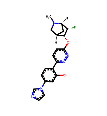 CN1C[C@H]2C[C@@H]1[C@H](F)[C@@H]2Oc1ccc(-c2ccc(-n3ccnc3)cc2O)nn1